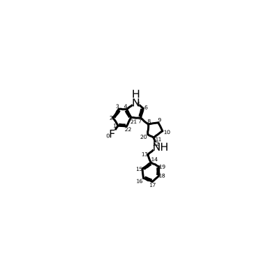 Fc1ccc2[nH]cc(C3CCC(NCc4ccccc4)C3)c2c1